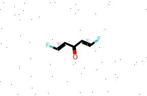 O=C(/C=C/F)/C=C/F